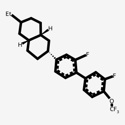 CCC1CC[C@@H]2C[C@H](c3ccc(-c4ccc(OC(F)(F)F)c(F)c4)c(F)c3)CC[C@@H]2C1